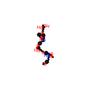 CCOC(=O)C(Cc1ccc(OCCCC(O)C(C)(CC)C(C)(C)Oc2ccc(CCN(C)C(Cc3ccc(OCCCC(O)C(C)(O)CC)cc3)C(=O)OCc3ccccc3)cc2)cc1)NCCCc1ccc(OC(C)C)cc1